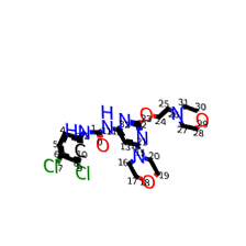 O=C(Nc1ccc(Cl)c(Cl)c1)Nc1cc(N2CCOCC2)nc(OCCN2CCOCC2)n1